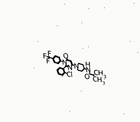 CC(C)C(=O)NC1CCN(c2cc(=O)n(-c3ccc(C(F)(F)F)cc3)c(-c3ccccc3Cl)n2)CC1